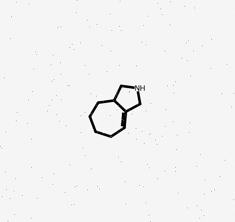 C1=C2CNCC2CCCC1